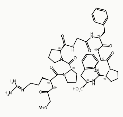 CNCC(=O)N[C@@H](CCCN=C(N)N)C(=O)N1CCC[C@H]1C(=O)N1CCC[C@H]1C(=O)NCC(=O)N[C@@H](Cc1ccccc1)C(=O)N[C@@H](CO)C(=O)N1CCC[C@H]1C(=O)N[C@H](Cc1ccccc1)C(=O)O